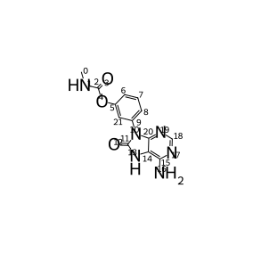 CNC(=O)Oc1cccc(-n2c(=O)[nH]c3c(N)ncnc32)c1